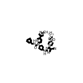 CCS(=O)(=O)N1CCN(c2nc(NC3CCC(N(C(=O)NCc4ccccc4)c4ccc(-c5cnn(C)c5)cn4)CC3)ncc2C#N)CC1